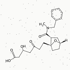 CN(Cc1ccccc1)C(=O)[C@H]1C[C@@H]2CC[C@@]1(CCC(=O)CC(O)CC(=O)O)O2